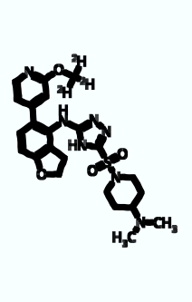 [2H]C([2H])([2H])Oc1cc(-c2ccc3c(c2Nc2nnc(S(=O)(=O)N4CCC(N(C)C)CC4)[nH]2)CCO3)ccn1